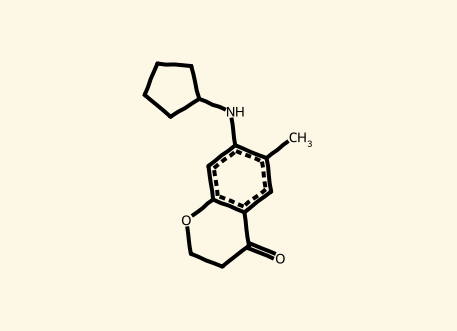 Cc1cc2c(cc1NC1CCCC1)OCCC2=O